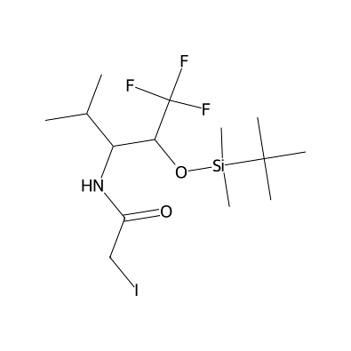 CC(C)C(NC(=O)CI)C(O[Si](C)(C)C(C)(C)C)C(F)(F)F